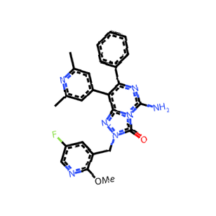 COc1ncc(F)cc1Cn1nc2c(-c3cc(C)nc(C)c3)c(-c3ccccc3)nc(N)n2c1=O